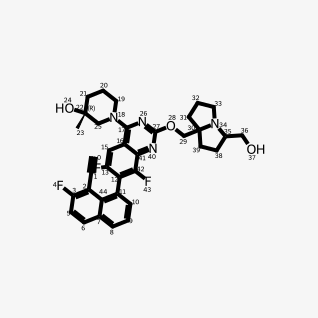 C#Cc1c(F)ccc2cccc(-c3c(F)cc4c(N5CCC[C@@](C)(O)C5)nc(OCC56CCCN5C(CO)CC6)nc4c3F)c12